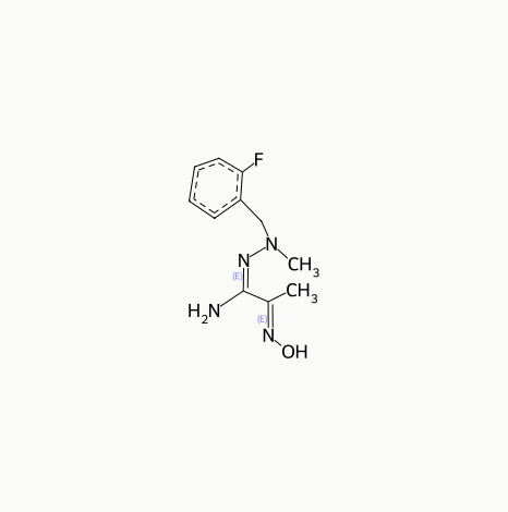 CC(=N\O)/C(N)=N\N(C)Cc1ccccc1F